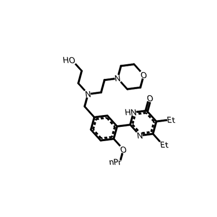 CCCOc1ccc(CN(CCO)CCN2CCOCC2)cc1-c1nc(CC)c(CC)c(=O)[nH]1